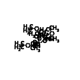 C=C(C)c1ccc(C(C)(C)NC(=O)OC(CCOC(=O)NC(C)(C)c2cccc(C(=C)C)c2)COC(=O)NC(C)(C)c2cccc(C(=C)C)c2)cc1